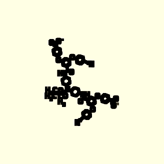 CC(C)(C)OC(=O)N(C1CCC(NC(=O)c2cc(Oc3ccc(C#N)cc3)cc(Oc3ccc([N+](=O)[O-])cc3)c2)CC1)C1CCC(NC(=O)c2cc(Oc3ccc(C#N)cc3)cc(Oc3ccc([N+](=O)[O-])cc3)c2)CC1